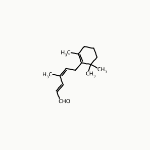 CC(C=CC=O)=CCC1=C(C)CCCC1(C)C